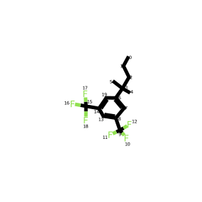 CCCC(C)(C)c1cc(C(F)(F)F)cc(C(F)(F)F)c1